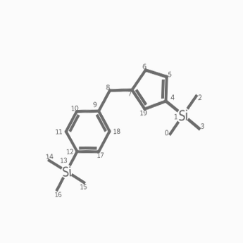 C[Si](C)(C)C1=CCC(Cc2ccc([Si](C)(C)C)cc2)=C1